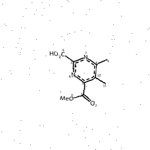 COC(=O)c1nc(C(=O)O)nc(C)c1C